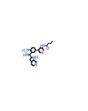 CCCC(=O)Nc1cncc(-c2ccc(N)c(C(=N)c3cc4ccncc4[nH]3)c2)c1